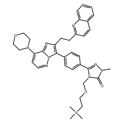 Cn1nc(-c2ccc(-c3c(CCc4ccc5ccccc5n4)nc4c(N5CCOCC5)ccnn34)cc2)n(COCC[Si](C)(C)C)c1=O